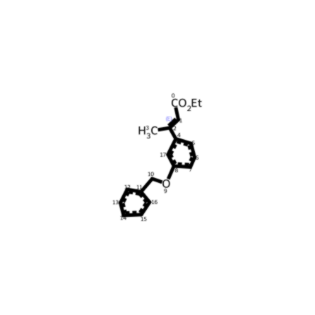 CCOC(=O)/C=C(\C)c1cccc(OCc2ccccc2)c1